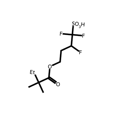 CCC(C)(C)C(=O)OCCC(F)C(F)(F)S(=O)(=O)O